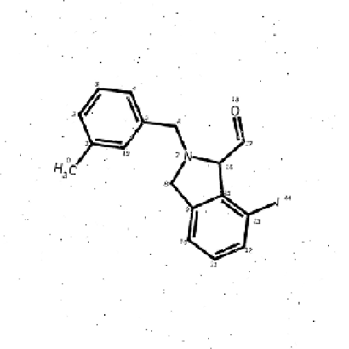 Cc1cccc(CN2Cc3cccc(I)c3C2C=O)c1